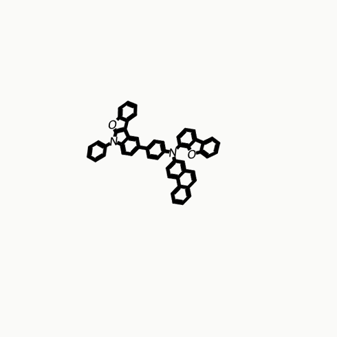 c1ccc(-n2c3ccc(-c4ccc(N(c5ccc6c(ccc7ccccc76)c5)c5cccc6c5oc5ccccc56)cc4)cc3c3c4ccccc4oc32)cc1